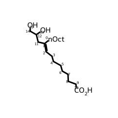 CCCCCCCC/C(=C\CCCCCCCC(=O)O)CC(O)CO